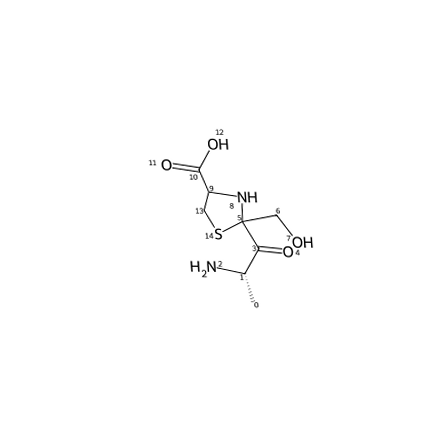 C[C@H](N)C(=O)C1(CO)NC(C(=O)O)CS1